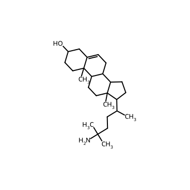 CC(CCC(C)(C)N)C1CCC2C3CC=C4CC(O)CCC4(C)C3CCC12C